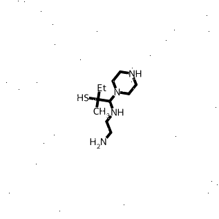 CCC(C)(S)C(NCCN)N1CCNCC1